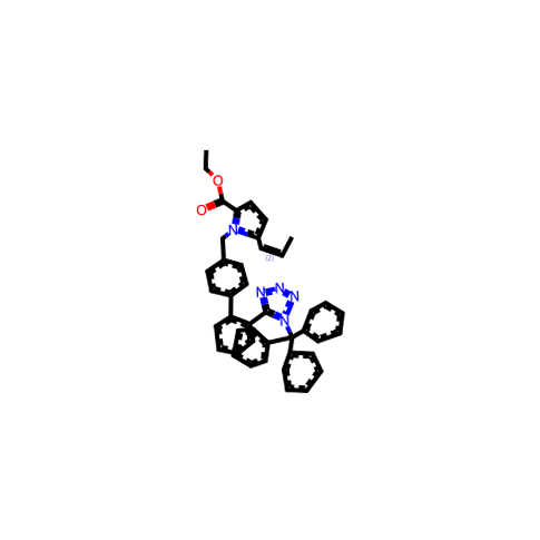 C/C=C\c1ccc(C(=O)OCC)n1Cc1ccc(-c2ccccc2-c2nnnn2C(c2ccccc2)(c2ccccc2)c2ccccc2)cc1